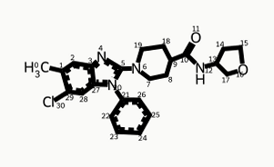 Cc1cc2nc(N3CCC(C(=O)NC4CCOC4)CC3)n(-c3ccccc3)c2cc1Cl